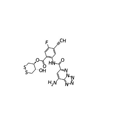 C#Cc1cc(NC(=O)c2cc(N)c3nnnn3n2)c(C(=O)O[C@@H]2CSSC[C@H]2O)cc1F